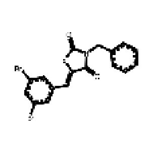 O=C1S/C(=C\c2cc(Br)cc(Br)c2)C(=O)N1Cc1ccccc1